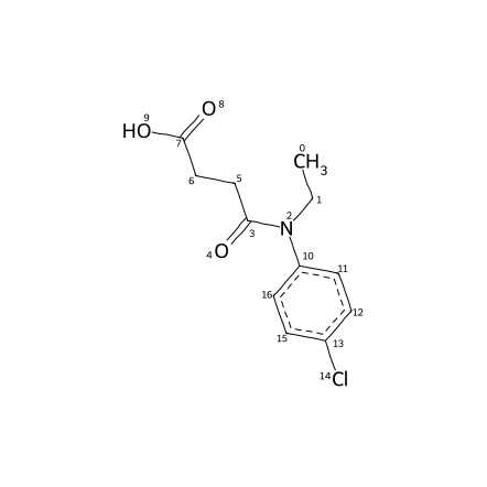 CCN(C(=O)CCC(=O)O)c1ccc(Cl)cc1